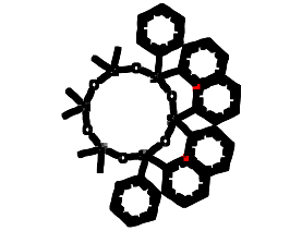 C[Si]1(C)O[Si](C)(C)O[Si](c2ccccc2)(c2ccccc2)O[Si](c2ccccc2)(c2ccccc2)O[Si](c2ccccc2)(c2ccccc2)O[Si](C)(C)O1